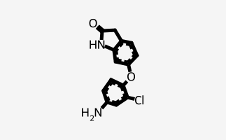 Nc1ccc(Oc2ccc3c(c2)NC(=O)C3)c(Cl)c1